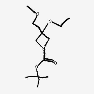 CCOC1(COC)CN(C(=O)OC(C)(C)C)C1